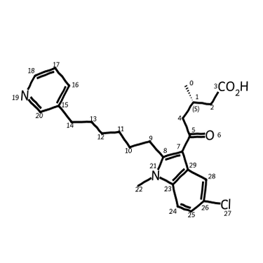 C[C@H](CC(=O)O)CC(=O)c1c(CCCCCCc2cccnc2)n(C)c2ccc(Cl)cc12